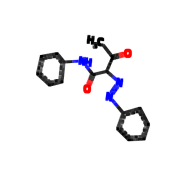 CC(=O)C(N=Nc1ccccc1)C(=O)Nc1ccccc1